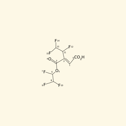 O=C(O)C=C(C(=O)OC(F)C(F)F)C(F)C(F)F